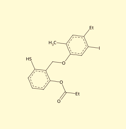 CCC(=O)Oc1cccc(S)c1COc1cc(I)c(CC)cc1C